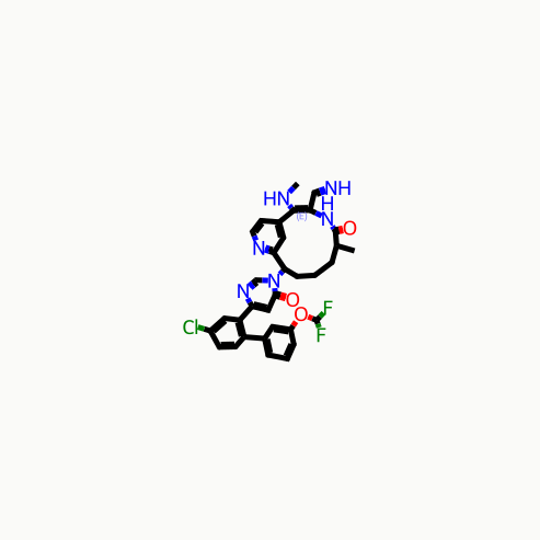 CN/C1=C(\C=N)NC(=O)C(C)CCCC(n2cnc(-c3cc(Cl)ccc3-c3cccc(OC(F)F)c3)cc2=O)c2cc1ccn2